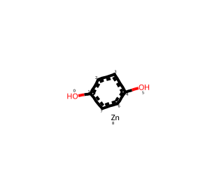 Oc1ccc(O)cc1.[Zn]